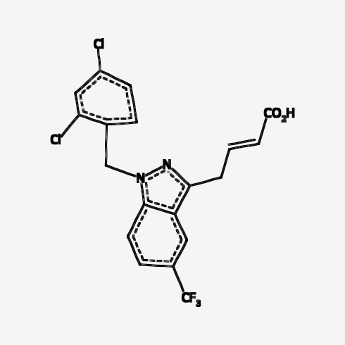 O=C(O)C=CCc1nn(Cc2ccc(Cl)cc2Cl)c2ccc(C(F)(F)F)cc12